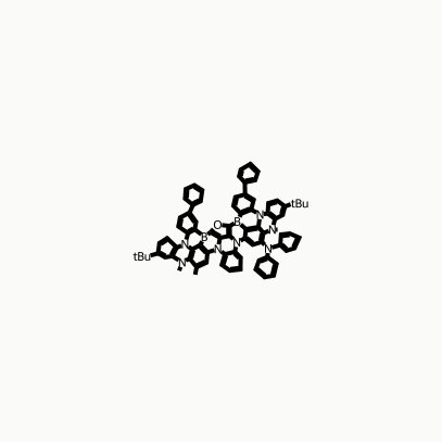 Cc1cc2c3c4c1N(C)c1cc(C(C)(C)C)ccc1N4c1ccc(-c4ccccc4)cc1B3c1oc3c4c1N2c1ccccc1N4c1cc(N(c2ccccc2)c2ccccc2)c2c4c1B3c1ccc(-c3ccccc3)cc1N4c1ccc(C(C)(C)C)cc1N2C